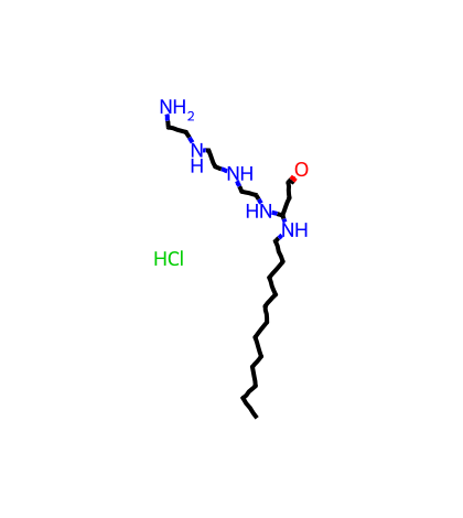 CCCCCCCCCCCCNC(CC=O)NCCNCCNCCN.Cl